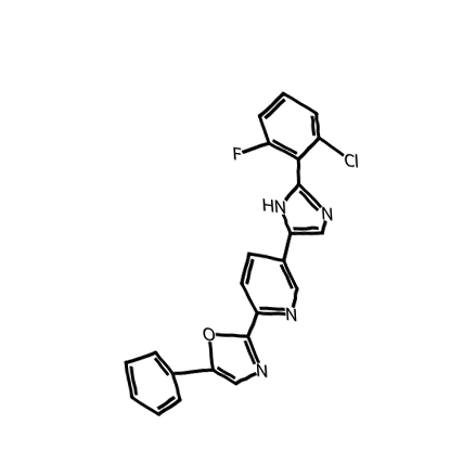 Fc1cccc(Cl)c1-c1ncc(-c2ccc(-c3ncc(-c4ccccc4)o3)nc2)[nH]1